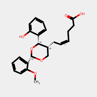 COc1ccccc1[C@H]1OC[C@@H](C/C=C\CCC(=O)O)[C@@H](c2ccccc2O)O1